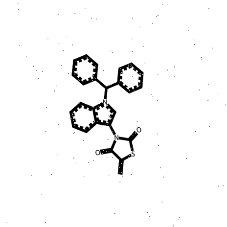 C=C1SC(=O)N(c2cn(C(c3ccccc3)c3ccccc3)c3ccccc23)C1=O